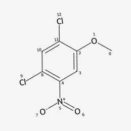 COc1cc([N+](=O)[O-])c(Cl)cc1Cl